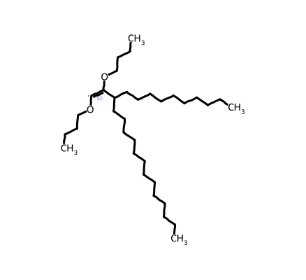 CCCCCCCCCCCCCC(CCCCCCCCCC)/C(=[C]\OCCCC)OCCCC